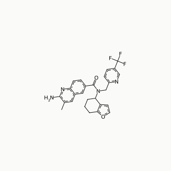 Cc1cc2cc(C(=O)N(Cc3ccc(C(F)(F)F)cn3)C3CCCc4occc43)ccc2nc1N